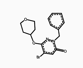 O=c1cc(Br)c(OC2CCOCC2)nn1Cc1ccccc1